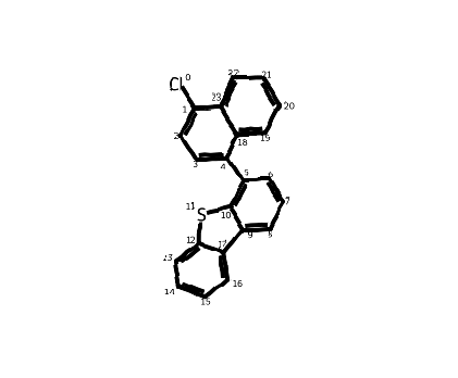 Clc1ccc(-c2cccc3c2sc2ccccc23)c2ccccc12